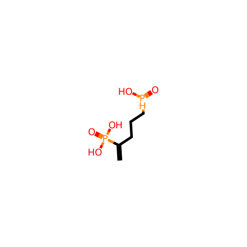 C=C(CCC[PH](=O)O)P(=O)(O)O